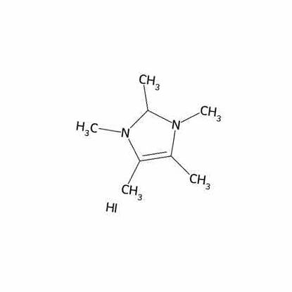 CC1=C(C)N(C)C(C)N1C.I